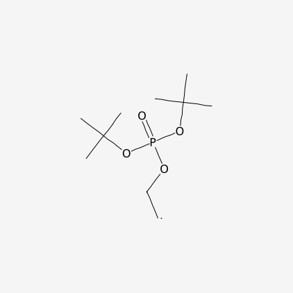 [CH2]COP(=O)(OC(C)(C)C)OC(C)(C)C